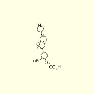 CCCc1cc(C(=O)CN2CCN(c3ccncc3)CC2=O)ccc1OCC(=O)O